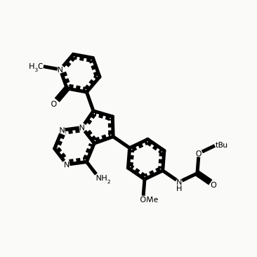 COc1cc(-c2cc(-c3cccn(C)c3=O)n3ncnc(N)c23)ccc1NC(=O)OC(C)(C)C